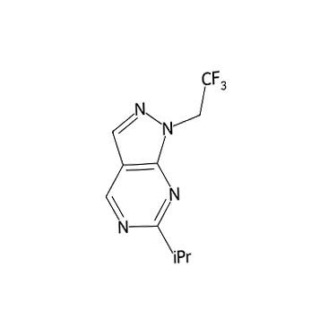 CC(C)c1ncc2cnn(CC(F)(F)F)c2n1